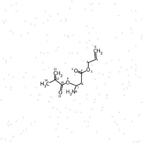 C=CCOC(=O)CC(N)OC(=O)C(=C)C